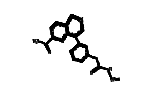 CCCCCCNC(=O)Cc1cccc(-c2cncc3ccc(C(N)=O)nc23)c1